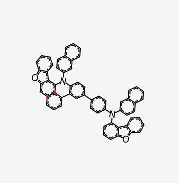 c1ccc(-c2cc(-c3ccc(N(c4ccc5ccccc5c4)c4cccc5oc6ccccc6c45)cc3)ccc2N(c2ccc3ccccc3c2)c2cccc3oc4ccccc4c23)cc1